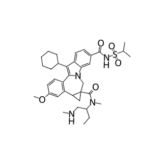 CCC(CNC)N(C)C(=O)C12CC1c1cc(OC)ccc1-c1c(C3CCCCC3)c3ccc(C(=O)NS(=O)(=O)C(C)C)cc3n1C2